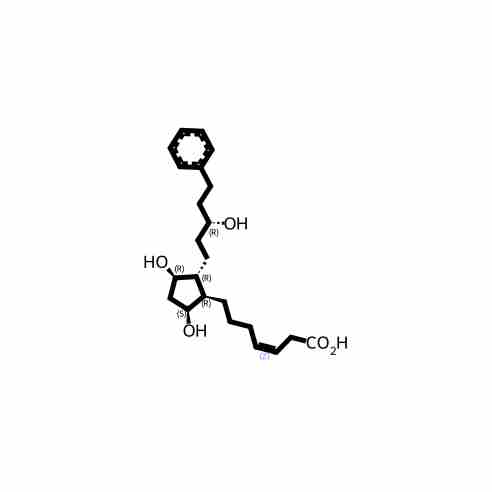 O=C(O)C/C=C\CCC[C@@H]1[C@@H](CC[C@@H](O)CCc2ccccc2)[C@H](O)C[C@@H]1O